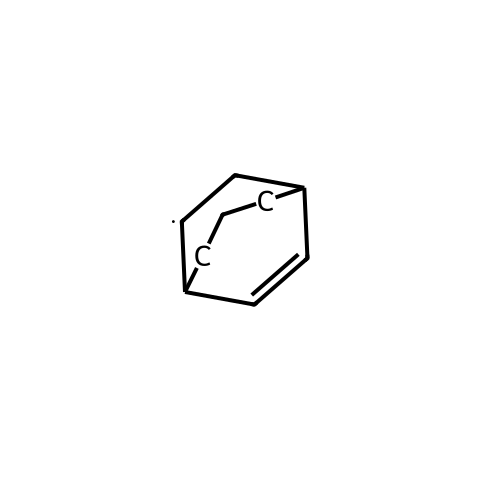 [CH]1CC2C=CC1CCC2